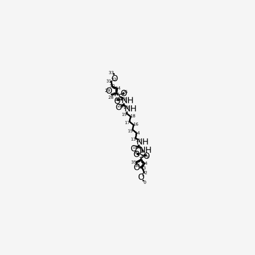 COCc1cc(S(=O)(=O)NC(=O)NCCCCCCCNC(=O)NS(=O)(=O)c2coc(COC)c2)co1